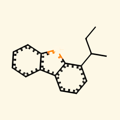 CCC(C)c1cccc2c1[pH]c1ccccc12